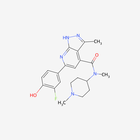 Cc1n[nH]c2nc(-c3ccc(O)c(F)c3)cc(C(=O)N(C)C3CCN(C)CC3)c12